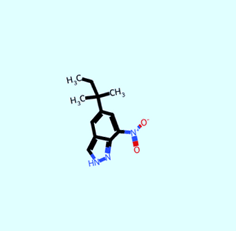 CCC(C)(C)c1cc([N+](=O)[O-])c2n[nH]cc2c1